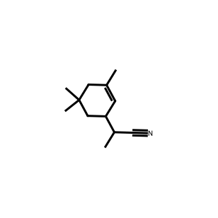 CC1=CC(C(C)C#N)CC(C)(C)C1